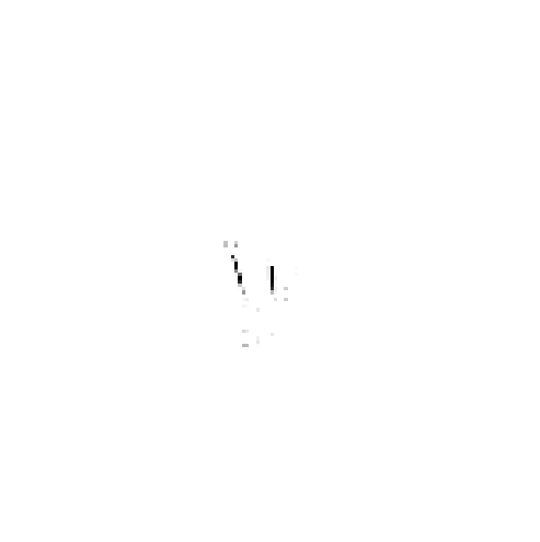 CC(=O)[O-].CC(=O)[O-].S.[Zn+2]